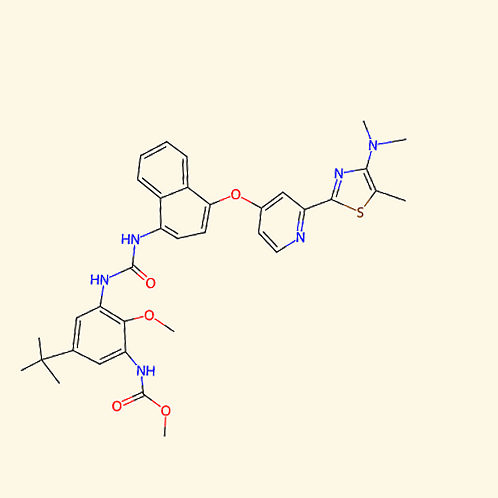 COC(=O)Nc1cc(C(C)(C)C)cc(NC(=O)Nc2ccc(Oc3ccnc(-c4nc(N(C)C)c(C)s4)c3)c3ccccc23)c1OC